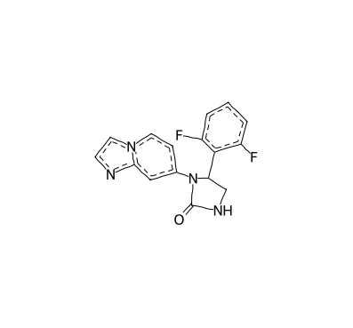 O=C1NCC(c2c(F)cccc2F)N1c1ccn2ccnc2c1